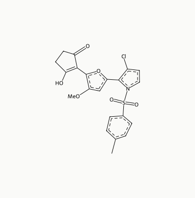 COc1cc(-c2c(Cl)ccn2S(=O)(=O)c2ccc(C)cc2)oc1C1=C(O)CCC1=O